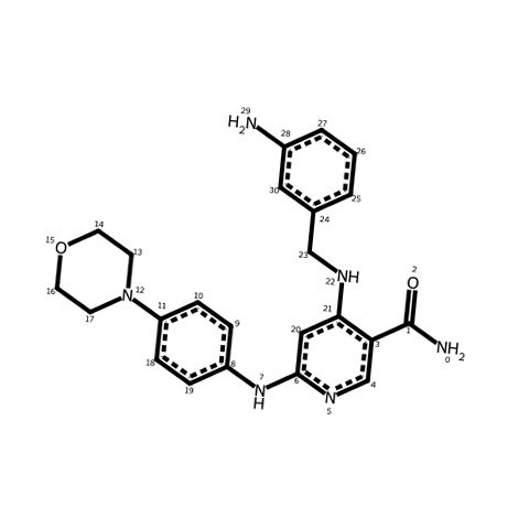 NC(=O)c1cnc(Nc2ccc(N3CCOCC3)cc2)cc1NCc1cccc(N)c1